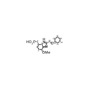 COc1ccc(CC(=O)O)c2[nH]c(COc3ccccc3)nc12